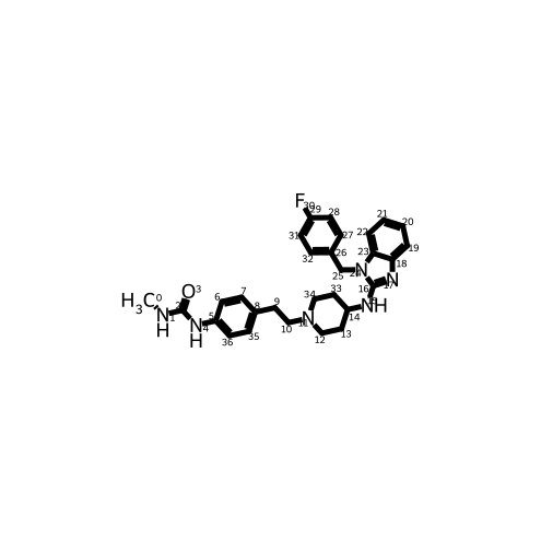 CNC(=O)Nc1ccc(CCN2CCC(Nc3nc4ccccc4n3Cc3ccc(F)cc3)CC2)cc1